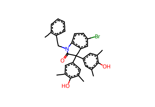 Cc1ccccc1CN1C(=O)C(c2cc(C)c(O)c(C)c2)(c2cc(C)c(O)c(C)c2)c2cc(Br)ccc21